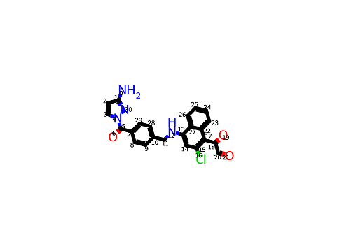 Nc1ccn(C(=O)c2ccc(CNc3cc(Cl)c(C(=O)C=O)c4ccccc34)cc2)n1